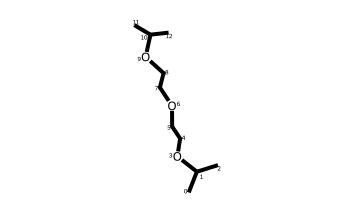 CC(C)OCCOCCOC(C)C